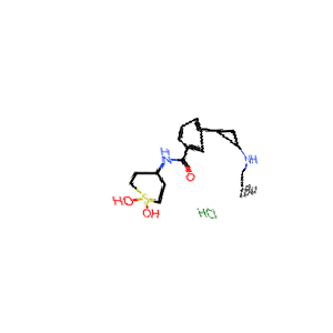 CC(C)(C)CNC1CC1c1cccc(C(=O)NC2CCS(O)(O)CC2)c1.Cl